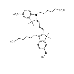 CC1(C)C(/C=C/C=C2/N(CCCCCC(=O)O)c3ccc(S(=O)(=O)O)cc3C2(C)C)=[N+](CCCCCC(=O)O)c2ccc(OS)cc21